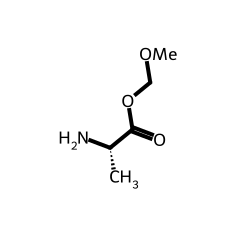 COCOC(=O)[C@H](C)N